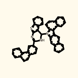 c1ccc2cc3c(cc2c1)c1c2ccccc2ccc1n3C1NC(c2ccc3ccc4ccccc4c3c2)=Nc2sc3ccccc3c21